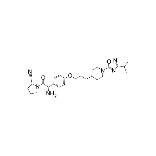 CC(C)c1noc(N2CCC(CCCOc3ccc([C@@H](N)C(=O)N4CCCC4C#N)cc3)CC2)n1